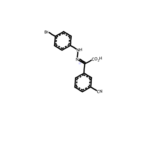 N#Cc1cccc(/C(=N/Nc2ccc(Br)cc2)C(=O)O)c1